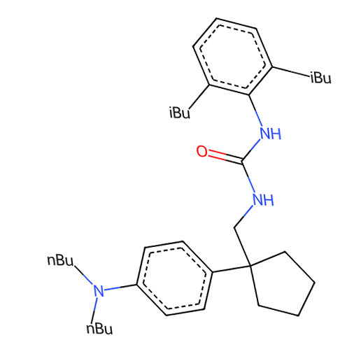 CCCCN(CCCC)c1ccc(C2(CNC(=O)Nc3c(C(C)CC)cccc3C(C)CC)CCCC2)cc1